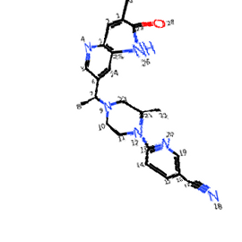 Cc1cc2ncc([C@H](C)N3CCN(c4ccc(C#N)cn4)[C@H](C)C3)cc2[nH]c1=O